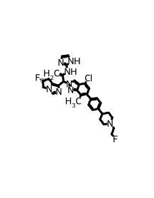 C=C(Nc1ncc[nH]1)C(c1ncn2c1C[C@@H](F)C2)n1cc2c(Cl)cc(-c3ccc(C4CCN(CCF)CC4)cc3)c(C)c2n1